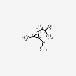 CC(C)O.CCC1OC1C